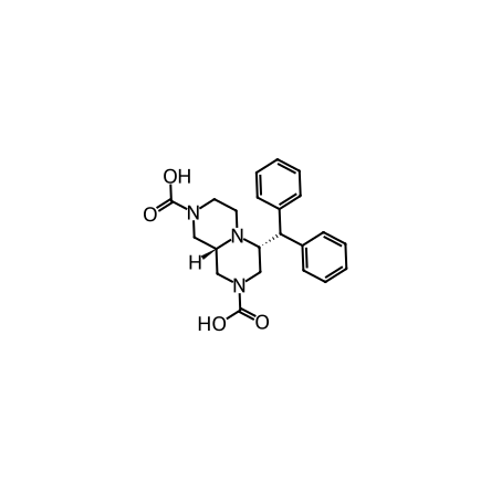 O=C(O)N1CCN2[C@@H](C1)CN(C(=O)O)C[C@H]2C(c1ccccc1)c1ccccc1